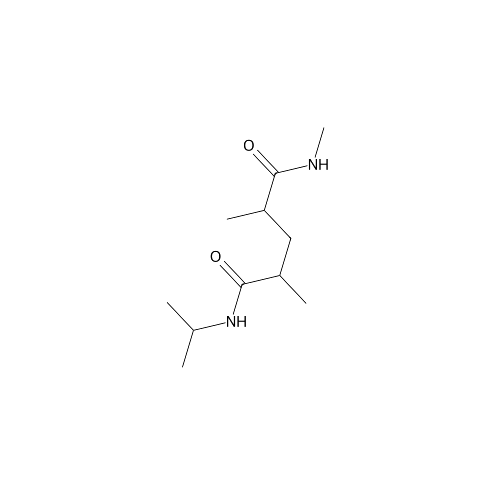 CNC(=O)C(C)CC(C)C(=O)NC(C)C